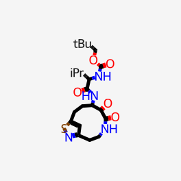 CC(C)C(NC(=O)OCC(C)(C)C)C(=O)NC1CCc2cc(ns2)CCNC(=O)C1=O